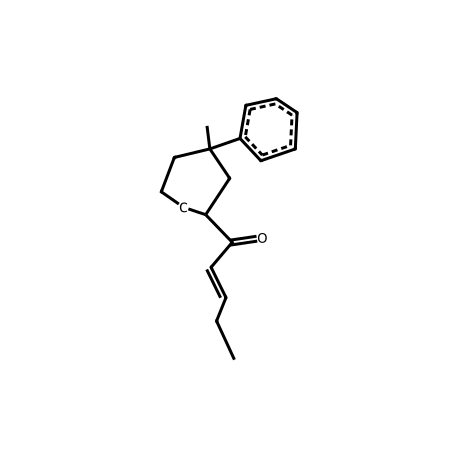 CCC=CC(=O)C1CCCC(C)(c2ccccc2)C1